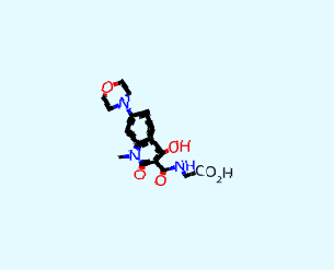 Cn1c(=O)c(C(=O)NCC(=O)O)c(O)c2ccc(N3CCOCC3)cc21